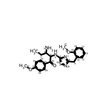 CCC(N)C(Nc1nc(Cc2ccccc2OC)ns1)C(=O)c1ccc(OC)cc1